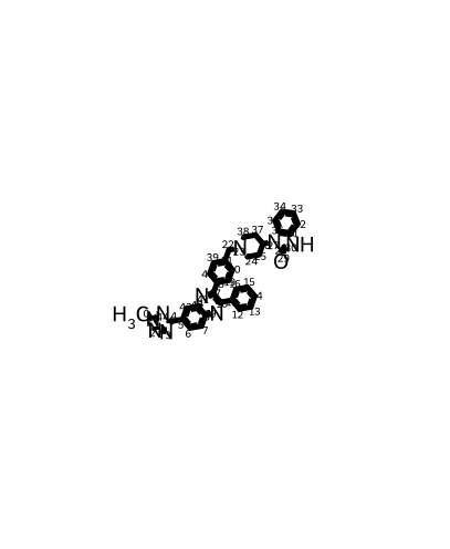 Cn1nnc(-c2ccc3nc(-c4ccccc4)c(-c4ccc(CN5CCC(n6c(=O)[nH]c7ccccc76)CC5)cc4)nc3c2)n1